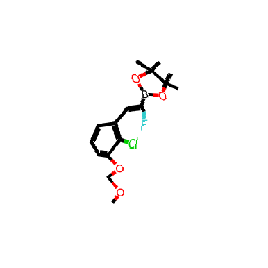 COCOc1cccc(C=C(F)B2OC(C)(C)C(C)(C)O2)c1Cl